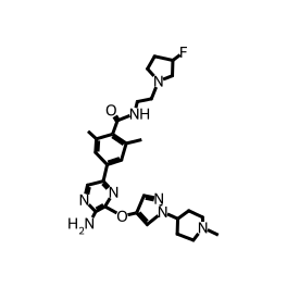 Cc1cc(-c2cnc(N)c(Oc3cnn(C4CCN(C)CC4)c3)n2)cc(C)c1C(=O)NCCN1CCC(F)C1